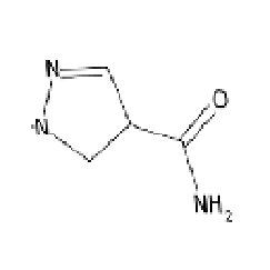 NC(=O)C1C=N[N]C1